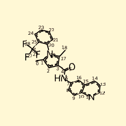 Cc1cc(C(=O)Nc2ccc3ncccc3c2)c(C)n1-c1ccccc1C(F)(F)F